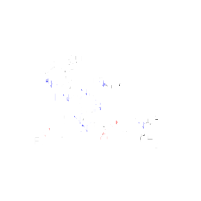 CCOCCn1nc(C(=O)OCCN(C)C)c2nc(N(C)C(C)C)nc(Nc3cc(C)ccn3)c21